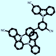 N#Cc1cc(-c2ccc(-n3c4ccc(C#N)cc4c4cccc(-n5c6ccccc6c6ccccc65)c43)cc2)cc(-n2c3ccccc3c3cc(C#N)ccc32)c1